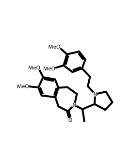 COc1ccc(CCN2CCCC2C(C)N2CCc3cc(OC)c(OC)cc3CC2=O)cc1OC